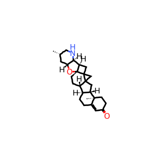 C[C@@H]1CN[C@H]2[C@H]3CC45CC46C[C@H]4[C@@H](CCC7=CC(=O)CC[C@@]74C)[C@@H]6CC[C@@]35O[C@@H]2C1